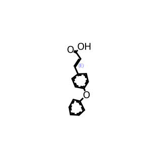 O=C(O)/C=C/c1ccc(Oc2ccccc2)cc1